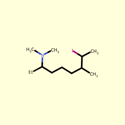 CCC(CCCC(C)C(C)I)N(C)C